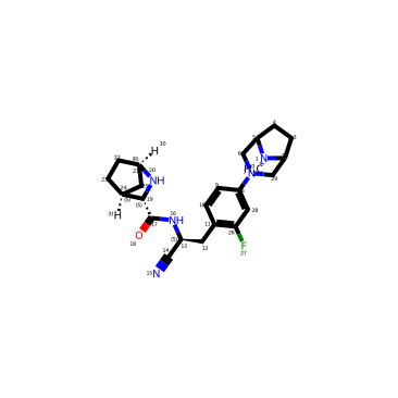 CN1C2CCC1CN(c1ccc(C[C@@H](C#N)NC(=O)[C@H]3N[C@@H]4CC[C@H]3C4)c(F)c1)C2